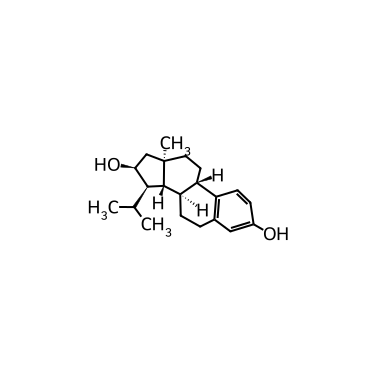 CC(C)[C@@H]1[C@H]2[C@@H]3CCc4cc(O)ccc4[C@H]3CC[C@]2(C)C[C@@H]1O